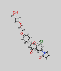 O=C1CCCN1c1cc(Cl)c2oc(-c3ccc(OCCOC4CC(CO)C4)cc3)cc(=O)c2c1